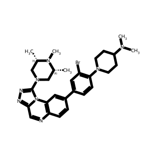 C[C@@H]1CN(c2nnc3cnc4ccc(-c5ccc(N6CCC(N(C)C)CC6)c(Br)c5)cc4n23)C[C@H](C)N1C